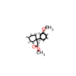 COC(=O)CC1(c2cccc(OC)c2)CCCCC1